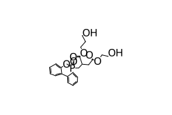 O=C(CC(CP1(=O)Oc2ccccc2-c2ccccc21)C(=O)OCCCO)OCCO